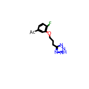 CC(=O)c1ccc(F)c(OCCCc2nn[nH]n2)c1